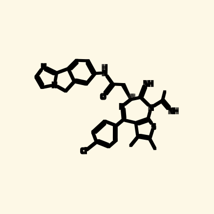 CC(=N)N1C(=N)[C@H](CC(=O)Nc2ccc3c(c2)Cn2ccnc2-3)N=C(c2ccc(Cl)cc2)c2c1sc(C)c2C